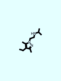 CCc1c(C)nn(CCNC(C)C)c1C